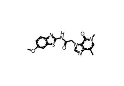 COc1ccc2nc(NC(=O)Cn3cnc4c(C)cn(C)c(=O)c43)sc2c1